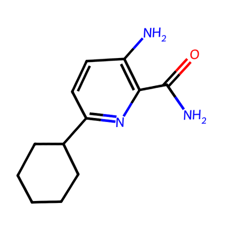 NC(=O)c1nc(C2CCCCC2)ccc1N